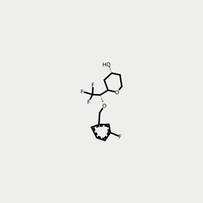 O[C@@H]1CCOC([C@H](OCc2cccc(F)c2)C(F)(F)F)C1